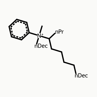 CCCCCCCCCCCCCCC(CCC)[N+](C)(CCCCCCCCCC)c1ccccc1